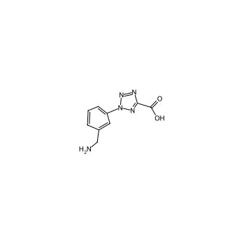 NCc1cccc(-n2nnc(C(=O)O)n2)c1